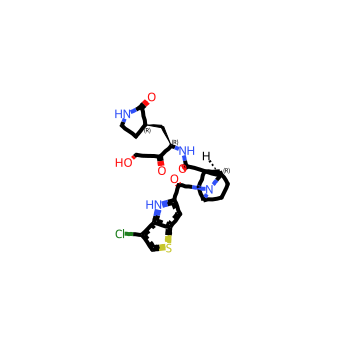 O=C1NCC[C@@H]1C[C@@H](NC(=O)[C@H]1C2CCC(CC2)N1C(=O)c1cc2scc(Cl)c2[nH]1)C(=O)CO